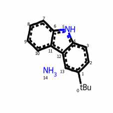 CC(C)(C)c1ccc2[nH]c3ccccc3c2c1.N